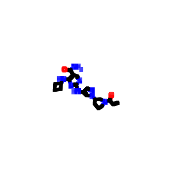 C=CC(=O)N1CCCC(n2cc(Nc3ncc(C(N)=O)c(NC4CCC4)n3)cn2)C1